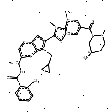 COc1cc(C(=O)N2C[C@H](N)CCN2C)cc2nc(-c3cc4ccc([C@@H](C)NC(=O)c5ccccc5C(F)(F)F)nc4n3CC3CC3)n(C)c12